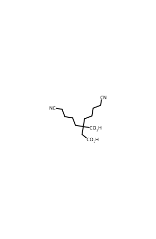 N#CCCCCC(CCCCC#N)(CC(=O)O)C(=O)O